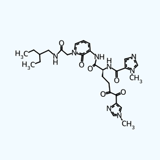 CCC(CC)CNC(=O)Cn1cccc(NC(=O)[C@H](CCC(=O)C(=O)c2cn(C)cn2)NC(=O)c2cncn2C)c1=O